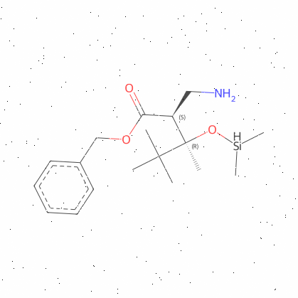 C[SiH](C)O[C@](C)([C@H](CN)C(=O)OCc1ccccc1)C(C)(C)C